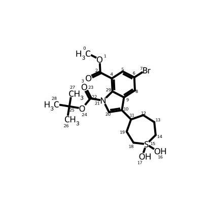 COC(=O)c1cc(Br)cc2c(C3CCCS(O)(O)CC3)cn(C(=O)OC(C)(C)C)c12